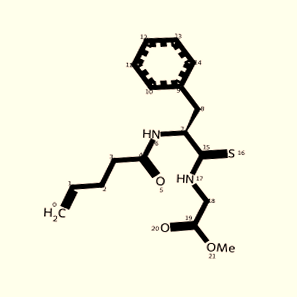 C=CCCC(=O)N[C@@H](Cc1ccccc1)C(=S)NCC(=O)OC